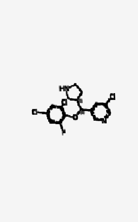 Fc1cc(Cl)cc(Cl)c1O[C@H](c1cncc(Cl)c1)[C@@H]1CCNC1